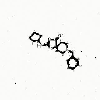 O=C1N=C(NC2CCCC2)OC12CCN(Cc1ccccc1)CC2